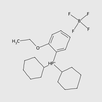 CCOc1ccccc1[PH+](C1CCCCC1)C1CCCCC1.F[B-](F)(F)F